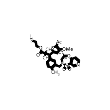 CC[C@@H]1CN(Cc2cc(C(c3cc(OC)c(C(C)=O)s3)C(C)(C)C(=O)OCCSI)ccc2C)S(=O)(=O)c2cnccc2O1